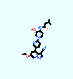 CCOc1cc(-c2ccc(N3CC[C@@H](NC(=O)CC(C)C)[C@@H](O)C3)nc2)c2c(C#N)cnn2c1